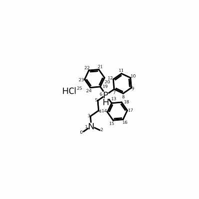 CN(C)CCC[PH](c1ccccc1)(c1ccccc1)c1ccccc1.Cl